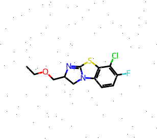 CCOCC1CN2C(=N1)Sc1c2ccc(F)c1Cl